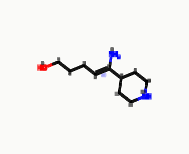 N/C(=C\CCCO)C1CCNCC1